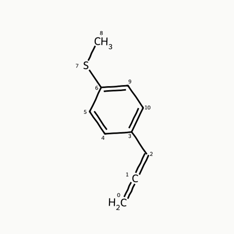 C=C=Cc1ccc(SC)cc1